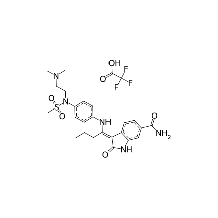 CCCC(Nc1ccc(N(CCN(C)C)S(C)(=O)=O)cc1)=C1C(=O)Nc2cc(C(N)=O)ccc21.O=C(O)C(F)(F)F